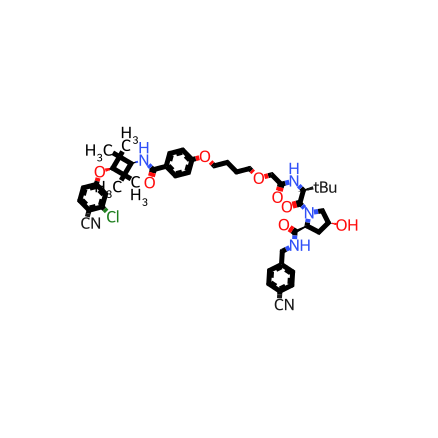 CC(C)(C)[C@H](NC(=O)COCCCCOc1ccc(C(=O)N[C@H]2C(C)(C)[C@H](Oc3ccc(C#N)c(Cl)c3)C2(C)C)cc1)C(=O)N1C[C@H](O)C[C@H]1C(=O)NCc1ccc(C#N)cc1